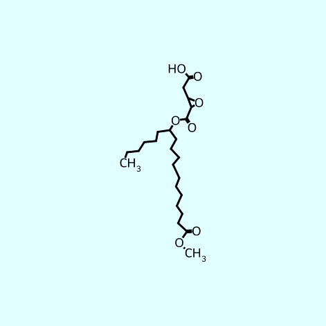 CCCCCCC(CCCCCCCCCCC(=O)OC)OC(=O)C1OC1CC(=O)O